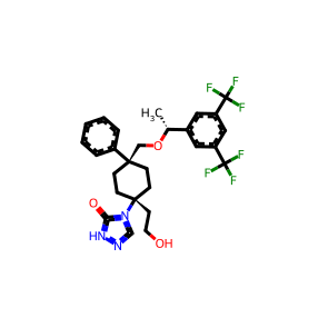 C[C@@H](OC[C@]1(c2ccccc2)CC[C@@](CCO)(n2cn[nH]c2=O)CC1)c1cc(C(F)(F)F)cc(C(F)(F)F)c1